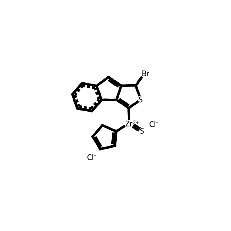 [Cl-].[Cl-].[S]=[Zr+2]([C]1=CC=CC1)[C]1=C2C(=Cc3ccccc32)C(Br)S1